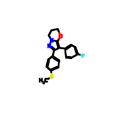 CSc1ccc(-c2nn3c(c2-c2ccc(F)cc2)OCCC3)cc1